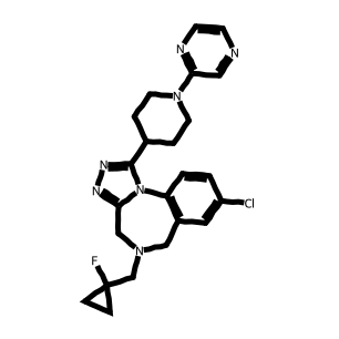 FC1(CN2Cc3cc(Cl)ccc3-n3c(nnc3C3CCN(c4cnccn4)CC3)C2)CC1